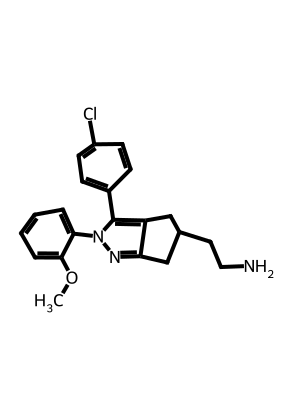 COc1ccccc1-n1nc2c(c1-c1ccc(Cl)cc1)CC(CCN)C2